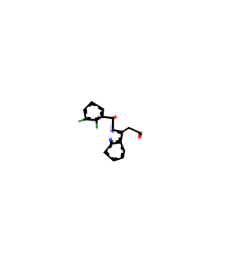 O=C(O)Cc1c(C(=O)c2cccc(Cl)c2Cl)[nH]c2ccccc12